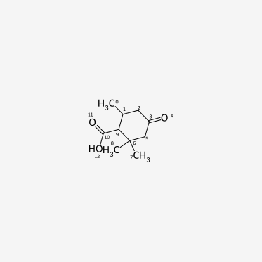 CC1CC(=O)CC(C)(C)C1C(=O)O